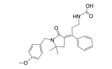 COc1ccc(CN2C(=O)/C(=C(\CCNC(=O)O)c3ccccc3)CC2(C)C)cc1